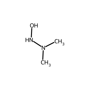 CN(C)NO